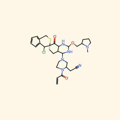 C=CC(=O)N1CCN(C2NC(OCC3CCCN3C)NC3C(=O)[C@]4(CCC32)SCc2ccccc2C4Cl)CC1CC#N